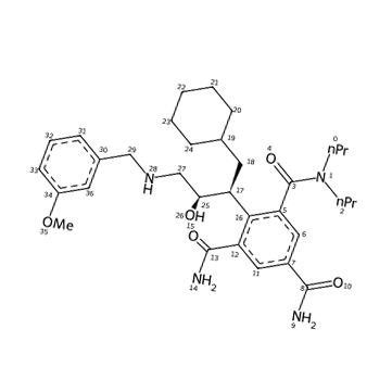 CCCN(CCC)C(=O)c1cc(C(N)=O)cc(C(N)=O)c1[C@H](CC1CCCCC1)[C@@H](O)CNCc1cccc(OC)c1